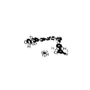 CC(C)(c1ccc(OCc2ccnc(N3CCN(CC4CCN(C5CC6(CCN(c7ccc8c(c7)C(=O)N(C7CCC(=O)NC7=O)C8=O)CC6)C5)C4)CC3)n2)cc1)c1cc(Cl)cc(C#N)c1.O=C(O)C(F)(F)F